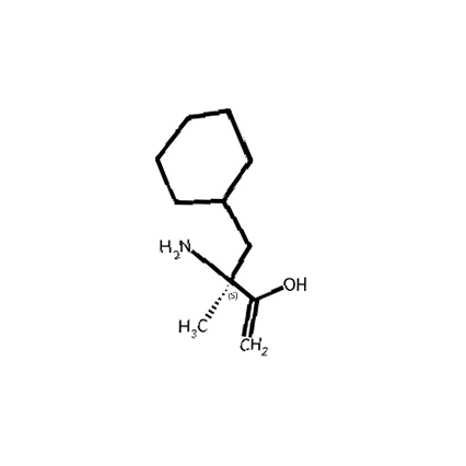 C=C(O)[C@@](C)(N)CC1CCCCC1